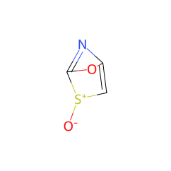 [O-][s+]1cc2nc1O2